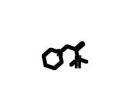 C=C(CN1CCCCC1)[SiH](C)C